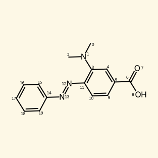 CN(C)c1cc(C(=O)O)ccc1N=Nc1ccccc1